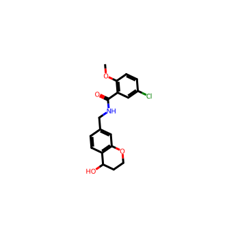 COc1ccc(Cl)cc1C(=O)NCc1ccc2c(c1)OCCC2O